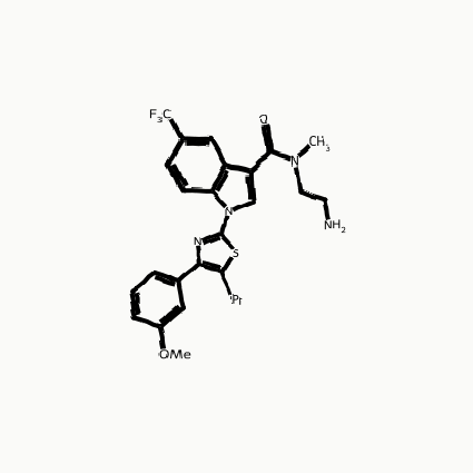 COc1cccc(-c2nc(-n3cc(C(=O)N(C)CCN)c4cc(C(F)(F)F)ccc43)sc2C(C)C)c1